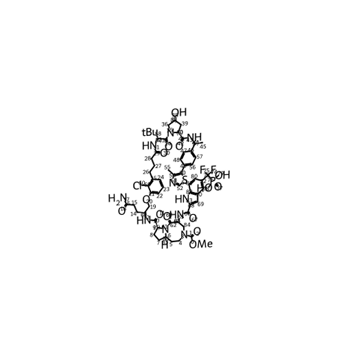 COC(=O)N1CC[C@H]2CC[C@@H](C(=O)N[C@@H](CCC(N)=O)COc3cccc(CCCC(=O)N[C@H](C(=O)N4C[C@H](O)C[C@H]4C(=O)N[C@@H](C)c4ccc(-c5scnc5C)cc4)C(C)(C)C)c3Cl)N2C(=O)[C@@H](NC(=O)c2cc3cc(C(F)(F)P(=O)(O)O)ccc3[nH]2)C1